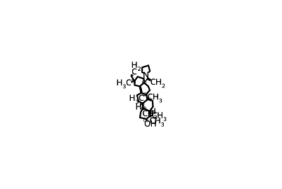 C=C[C@]1(C)CC[C@]2(C(=C)N3CCCC3)CC[C@]3(C)C(=C2C1)CC[C@@H]1[C@@]2(C)CC[C@H](O)C(C)(C)[C@@H]2CC[C@]13C